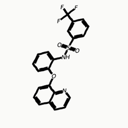 O=S(=O)(Nc1ccccc1Oc1cccc2cccnc12)c1cccc(C(F)(F)F)c1